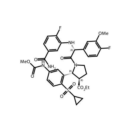 CCOC(=O)[C@@H]1CCN(C(=O)[C@H](Nc2cc(C(N)=O)ccc2F)c2ccc(F)c(OC)c2)[C@H]1c1cc(NC(=O)OC)ccc1S(=O)(=O)C1CC1